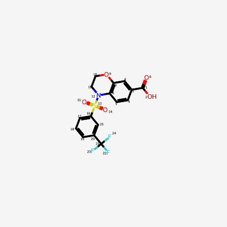 O=C(O)c1ccc2c(c1)OCCN2S(=O)(=O)c1cccc(C(F)(F)F)c1